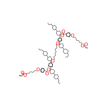 C=CC(=O)OCCCCCCOc1ccc(C(=O)OC2(c3ccc(C4(OCCCCCCCCOC5(c6ccc(C7(OC(=O)c8ccc(OCCCCCCOC(=O)C=C)cc8)CCC(C8CCC(CCC)CC8)CC7)cc6)CCC(C6CCC(CCC)CC6)CC5)CCC(C5CCC(CCC)CC5)CC4)cc3)CCC(C3CCC(CCC)CC3)CC2)cc1